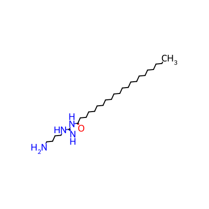 CCCCCCCCCCCCCCCCCCCCCC(=O)NC(=N)NCCCCN